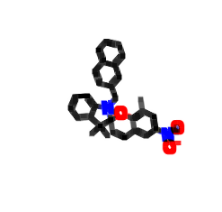 Cc1cc([N+](=O)[O-])cc2c1OC1(C=C2)N(Cc2ccc3ccccc3c2)c2ccccc2C1(C)C